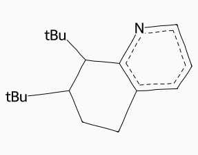 CC(C)(C)C1CCc2cccnc2C1C(C)(C)C